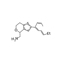 C\C=C/C(=C\C=C\CC)c1cc2c(s1)CCOC2CN